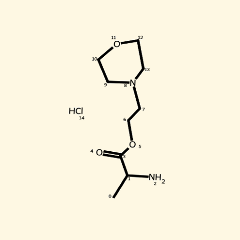 CC(N)C(=O)OCCN1CCOCC1.Cl